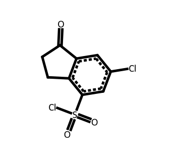 O=C1CCc2c1cc(Cl)cc2S(=O)(=O)Cl